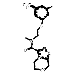 Cc1cc(OCCN(C)C(=O)c2nnc3n2CCOC3)cc(C(F)(F)F)c1